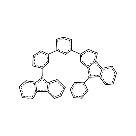 c1ccc(-n2c3ccccc3c3ccc(-c4cccc(-c5cccc(-n6c7ccccc7c7ccccc76)c5)c4)cc32)cc1